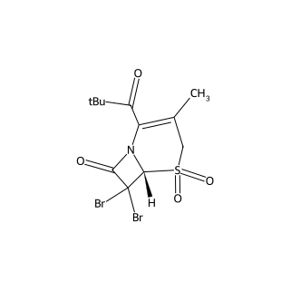 CC1=C(C(=O)C(C)(C)C)N2C(=O)C(Br)(Br)[C@H]2S(=O)(=O)C1